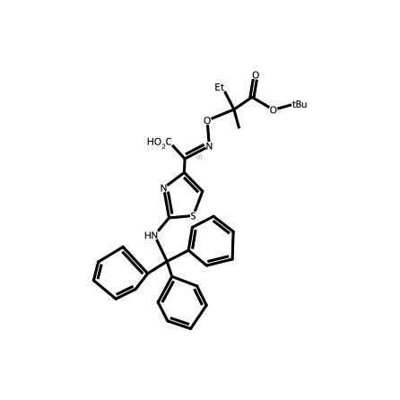 CCC(C)(O/N=C(\C(=O)O)c1csc(NC(c2ccccc2)(c2ccccc2)c2ccccc2)n1)C(=O)OC(C)(C)C